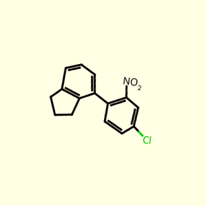 O=[N+]([O-])c1cc(Cl)ccc1-c1cccc2c1CCC2